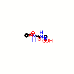 O=C(CCCNC(=O)OCc1ccccc1)NC[C@@H]1CCCN1C(=O)O